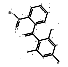 CCC(C)[P](=O)c1ccccc1C(=O)c1c(C)cc(C)cc1C